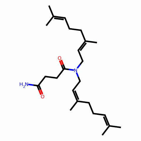 CC(C)=CCCC(C)=CCN(CC=C(C)CCC=C(C)C)C(=O)CCC(N)=O